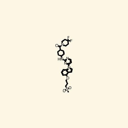 CS(=O)(=O)CCCOc1cccc2c1ccn2-c1ccnc(NC2CCC(C(=O)N3CCC(F)(F)CC3)CC2)n1